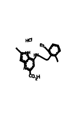 CCc1cccc(C)c1CNc1cc(C(=O)O)nc2cc(C)[nH]c12.Cl